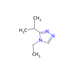 CCn1cnnc1C(C)C